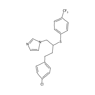 FC(F)(F)c1ccc(SC(CCc2ccc(Cl)cc2)Cn2ccnc2)cc1